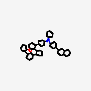 c1ccc(N(c2ccc(-c3ccc4ccccc4c3)cc2)c2ccc(-c3ccccc3-c3ccccc3-c3cccc4c3oc3ccccc34)cc2)cc1